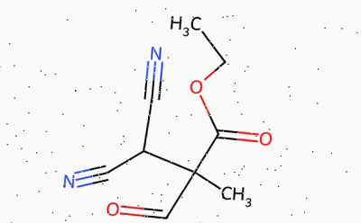 CCOC(=O)C(C)(C=O)C(C#N)C#N